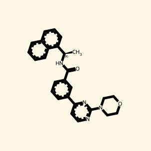 C[C@@H](NC(=O)c1cccc(-c2ccnc(N3CCOCC3)n2)c1)c1cccc2ccccc12